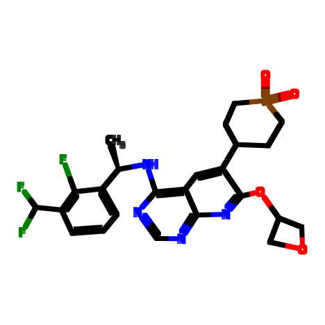 C[C@@H](Nc1ncnc2nc(OC3COC3)c(C3CCS(=O)(=O)CC3)cc12)c1cccc(C(F)F)c1F